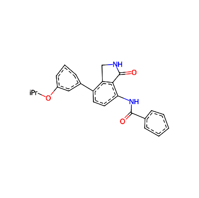 CC(C)Oc1cccc(-c2ccc(NC(=O)c3ccccc3)c3c2CNC3=O)c1